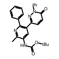 Cc1nc(-c2ccccc2)c(-c2ccc(=O)n(C(C)C)n2)cc1NC(=O)OC(C)(C)C